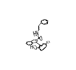 O=C(NC=Cc1ccccc1)N1Cc2ccccc2C1c1cc(Cl)ccc1O